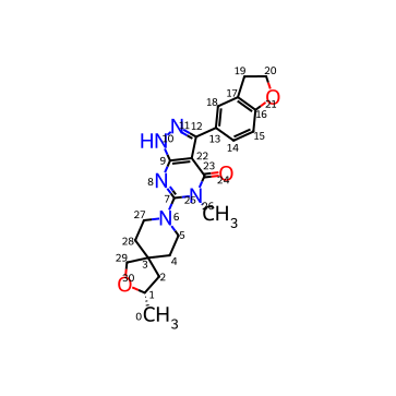 C[C@H]1CC2(CCN(c3nc4[nH]nc(-c5ccc6c(c5)CCO6)c4c(=O)n3C)CC2)CO1